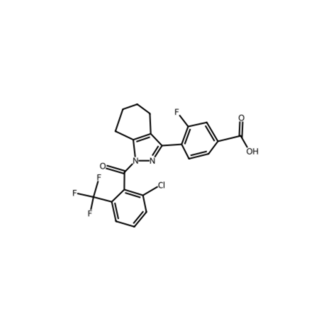 O=C(O)c1ccc(-c2nn(C(=O)c3c(Cl)cccc3C(F)(F)F)c3c2CCCC3)c(F)c1